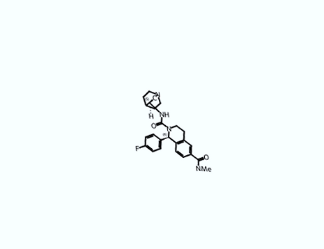 CNC(=O)c1ccc2c(c1)CCN(C(=O)N[C@@H]1CN3CCC1CC3)[C@@H]2c1ccc(F)cc1